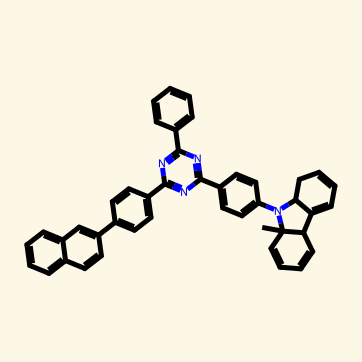 CC12C=CC=CC1C1=CC=CCC1N2c1ccc(-c2nc(-c3ccccc3)nc(-c3ccc(-c4ccc5ccccc5c4)cc3)n2)cc1